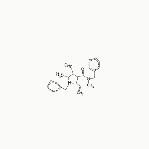 C=CC1C(C(=O)N(C)Cc2ccccc2)C(C=O)C(C)N1Cc1ccccc1